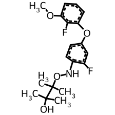 COc1cccc(Oc2ccc(NOC(C)(C)C(C)(C)O)c(F)c2)c1F